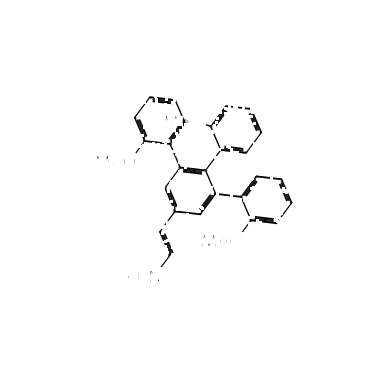 COc1ccccc1-c1cc(/C=C/[N+](=O)[O-])cc(-c2ccccc2OC)c1-c1ccccc1OC